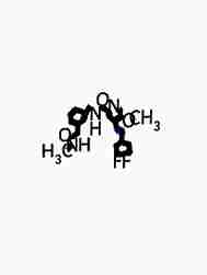 CNC(=O)Cc1cccc(CNC(=O)c2cc(/C=C/C3CCC(F)(F)CC3)c(OC)cn2)c1